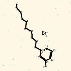 CCCCCCCCCC[n+]1cccc(C)c1.[Br-]